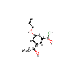 C=CCOc1cc(C(=O)Cl)cc(C(=O)OC)c1